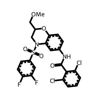 COCC1CN(S(=O)(=O)c2ccc(F)c(F)c2)c2cc(NC(=O)c3c(Cl)cccc3Cl)ccc2O1